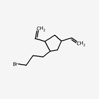 C=CC1CC(C=C)C(CCCBr)C1